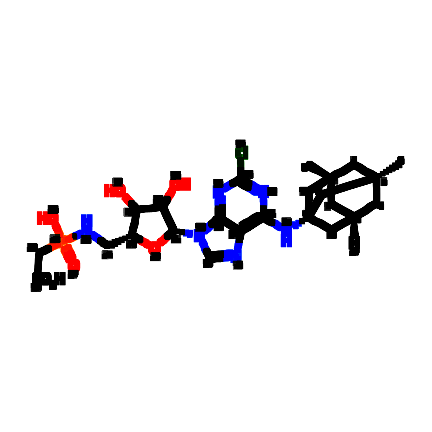 C[C@]12C[C@@H]3C[C@](C)(C1)C[C@@](Nc1nc(Cl)nc4c1ncn4[C@@H]1O[C@H](CNP(=O)(O)CS(=O)(=O)O)C(O)C1O)(C3)C2